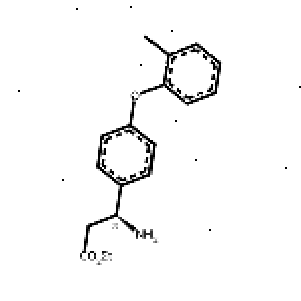 CCOC(=O)C[C@H](N)c1ccc(Oc2ccccc2C)cc1